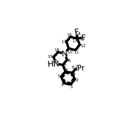 CC(C)c1ccccc1C1CN(C2CCC(F)(F)CC2)CCN1